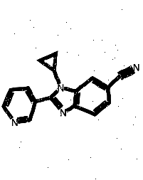 N#Cc1ccc2nc(-c3cccnc3)n(C3CC3)c2c1